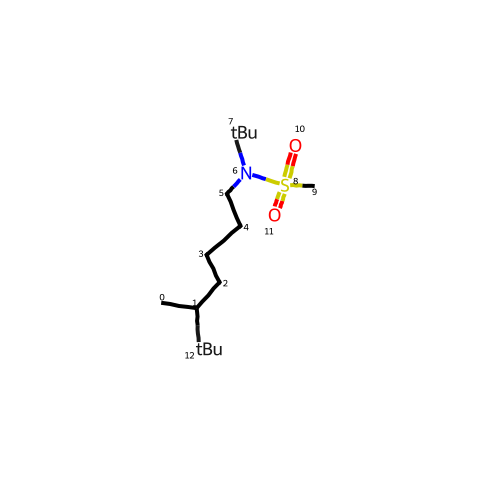 CC(CCCCN(C(C)(C)C)S(C)(=O)=O)C(C)(C)C